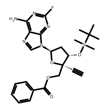 C#C[C@]1(COC(=O)c2ccccc2)O[C@@H](n2cnc3c(N)nc(F)nc32)C[C@@H]1O[Si](C)(C)C(C)(C)C